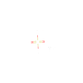 Br.O=S(=O)([O-])[O-].[Mg+2]